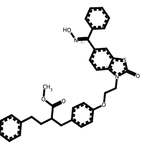 COC(=O)C(CCc1ccccc1)Cc1ccc(OCCn2c(=O)sc3cc(/C(=N/O)c4ccccc4)ccc32)cc1